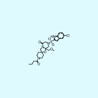 CCCC(=O)N1CCC2(CC1)CN1C(=O)CN(S(=O)(=O)c3cc4cc(Cl)ccc4[nH]3)CC1(COC)O2